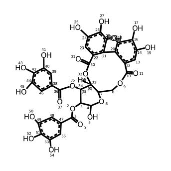 O=C(OC1C(O)OC2COC(=O)c3cc(O)c(O)c(O)c3-c3c(cc(O)c(O)c3O)C(=O)O[C@H]2[C@@H]1OC(=O)c1cc(O)c(O)c(O)c1)c1cc(O)c(O)c(O)c1